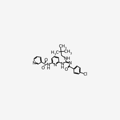 CC(C)(C)CN/C(=N/C(=O)c1ccc(Cl)cc1)Nc1cccc(NS(=O)(=O)c2cccnc2)n1